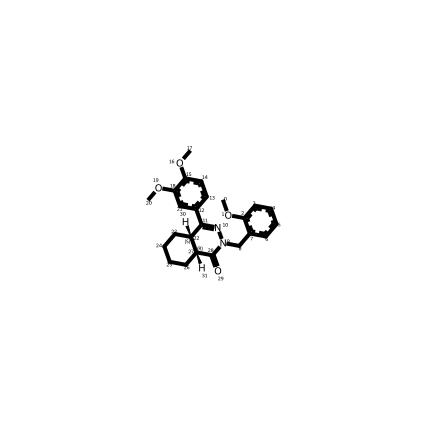 COc1ccccc1CN1N=C(c2ccc(OC)c(OC)c2)[C@H]2CCCC[C@H]2C1=O